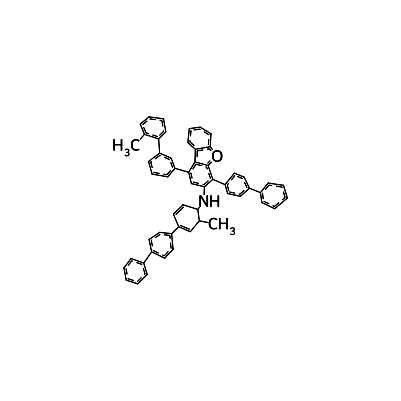 Cc1ccccc1-c1cccc(-c2cc(NC3C=CC(c4ccc(-c5ccccc5)cc4)=CC3C)c(-c3ccc(-c4ccccc4)cc3)c3oc4ccccc4c23)c1